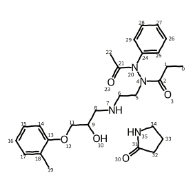 CCC(=O)N(CCNCC(O)COc1ccccc1C)N(C(C)=O)c1ccccc1.O=C1CCCN1